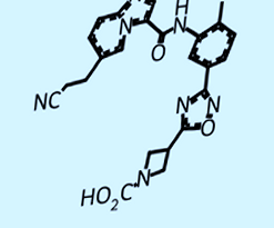 Cc1ccc(-c2noc(C3CN(C(=O)O)C3)n2)cc1NC(=O)c1cnc2ccc(CCC#N)cn12